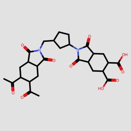 CC(=O)C1CC2C(=O)N(CC3CCC(N4C(=O)C5CC(C(=O)O)C(C(=O)O)CC5C4=O)C3)C(=O)C2CC1C(C)=O